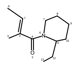 CC=C(C)C(=O)N1CCCCC1CC